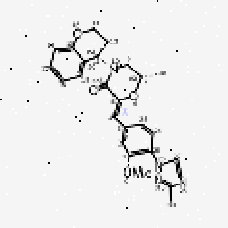 COc1cc(/C=C2\O[C@@H](C)CN([C@H]3CCOc4ccccc43)C2=O)ccc1-n1cnc(C)n1